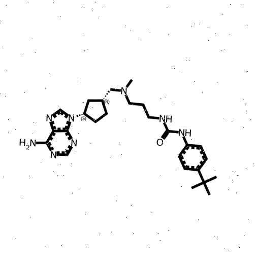 CN(CCCNC(=O)Nc1ccc(C(C)(C)C)cc1)C[C@@H]1CC[C@H](n2cnc3c(N)ncnc32)C1